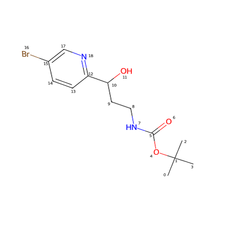 CC(C)(C)OC(=O)NCCC(O)c1ccc(Br)cn1